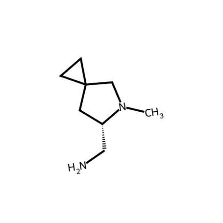 CN1CC2(CC2)C[C@H]1CN